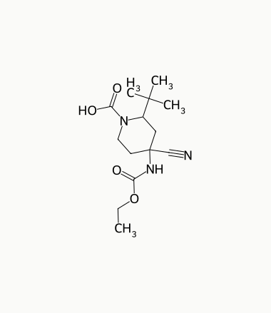 CCOC(=O)NC1(C#N)CCN(C(=O)O)C(C(C)(C)C)C1